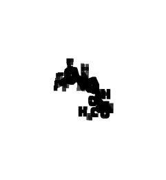 Cc1oncc1C(=O)Nc1ccc2[nH]c(-c3cc(F)cc(C(F)(F)F)c3)nc2c1